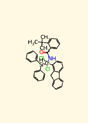 CC(C)(C)c1ccccc1C(=O)[NH][Zr]([Cl])([Cl])([c]1cccc2c1Cc1ccccc1-2)[SiH](c1ccccc1)c1ccccc1